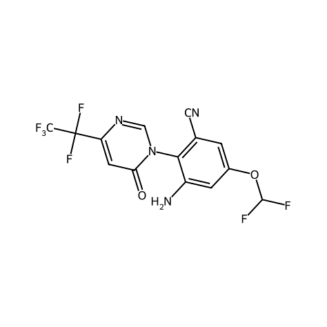 N#Cc1cc(OC(F)F)cc(N)c1-n1cnc(C(F)(F)C(F)(F)F)cc1=O